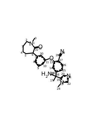 CN1CCCCC(c2cccc(Oc3cc(C(C)(N)c4cncn4C)ccc3C#N)c2)C1=O